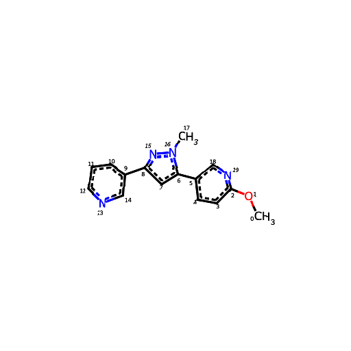 COc1ccc(-c2cc(-c3cccnc3)nn2C)cn1